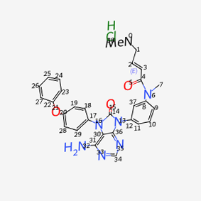 CNC/C=C/C(=O)N(C)c1cccc(-n2c(=O)n(-c3ccc(Oc4ccccc4)cc3)c3c(N)ncnc32)c1.Cl